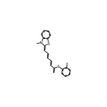 C=C(/C=C/C=C/C=C1\Sc2ccccc2N1C)Sc1ccccc1C